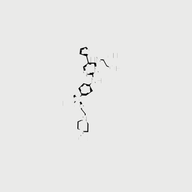 C[C@H](CO)Nc1nc(Nc2ccc(S(C)(=O)=NCCN3CCN(C)CC3)cc2)ncc1-c1cccs1